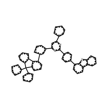 c1ccc(-c2cc(-c3cccc(-c4cccc5c4-c4ccccc4C5(c4ccccc4)c4ccccc4)c3)nc(-c3ccc(-c4cccc5c4oc4ccccc45)cc3)n2)cc1